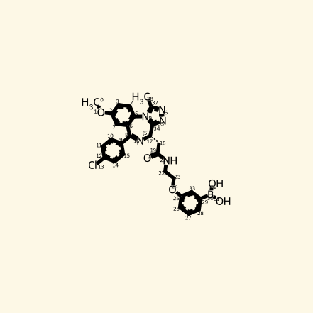 COc1ccc2c(c1)C(c1ccc(Cl)cc1)=N[C@@H](CC(=O)NCCOc1cccc(B(O)O)c1)c1nnc(C)n1-2